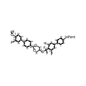 CCCCCc1ccc(-c2cc(F)c(C(F)(F)OC3COC(c4ccc(-c5ccc(OC(F)(F)F)c(F)c5)cc4)OC3)c(F)c2)cc1